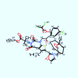 Cc1c(-c2ncco2)sc2c1c(=O)n(C(C)(C)C(=O)OC(C)(C)C)c(=O)n2C[C@H](O[C@H]1C[C@H]2CC[C@@H](C1)O2)c1cc(F)ccc1OC(F)F